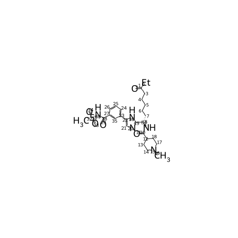 CCC(=O)CCCCC[C@H](NC(=O)C1CCN(C)CC1)c1ncc(-c2cccc(C(=O)NS(C)(=O)=O)c2)[nH]1